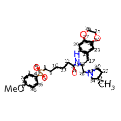 COc1ccc(S(=O)(=O)CCCCCC(=O)N[C@@H](Cc2ccc3c(c2)OCCO3)CN2CC[C@@H](C)C2)cc1